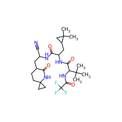 CC(C)(C)C(NC(=O)C(F)(F)F)C(=O)NC(CC1CC1(C)C)C(=O)NC(C#N)CC1CCC2(CC2)NC1=O